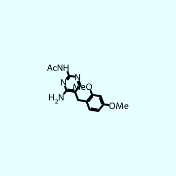 COc1ccc(Cc2cnc(NC(C)=O)nc2N)c(OC)c1